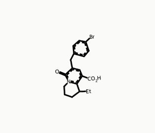 CCC1CCCn2c1c(C(=O)O)cc(Cc1ccc(Br)cc1)c2=O